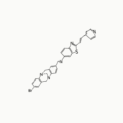 Brc1ccc2c(c1)CN1CN2Cc2cc(/C=N/c3ccc4nc(/C=C/c5ccncc5)sc4c3)ccc21